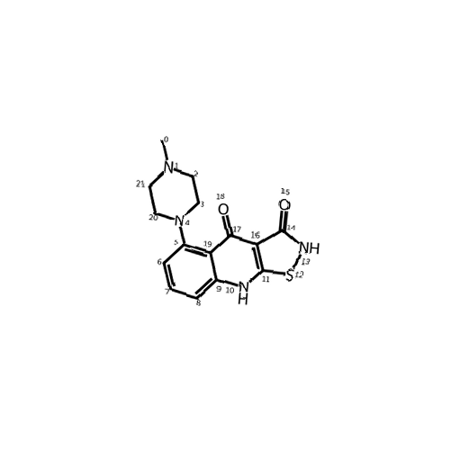 CN1CCN(c2cccc3[nH]c4s[nH]c(=O)c4c(=O)c23)CC1